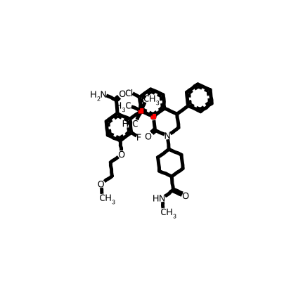 CNC(=O)C1CCC(N(CC(c2ccccc2)c2ccc(Cl)c(-c3c(C(N)=O)ccc(OCCOC)c3F)c2)C(=O)OC(C)(C)C)CC1